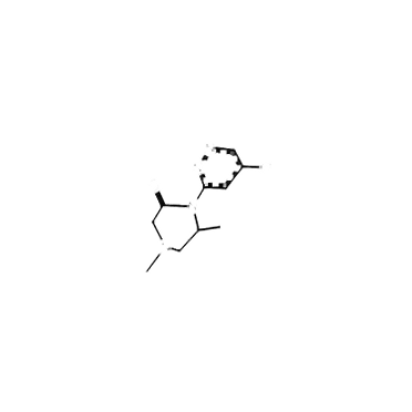 CC1CN(C)CC(=O)N1c1cc(Cl)cnn1